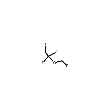 FCOC(F)(F)CF